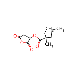 CCCC(C)(CC)C(=O)OC1CC(=O)OC1=O